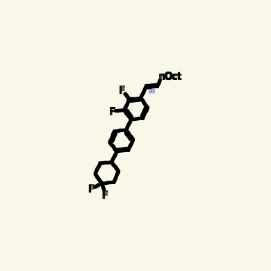 CCCCCCCC/C=C/c1ccc(-c2ccc(C3CCC(F)(F)CC3)cc2)c(F)c1F